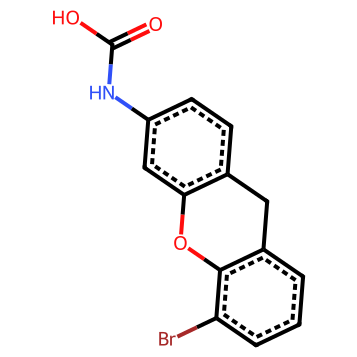 O=C(O)Nc1ccc2c(c1)Oc1c(Br)cccc1C2